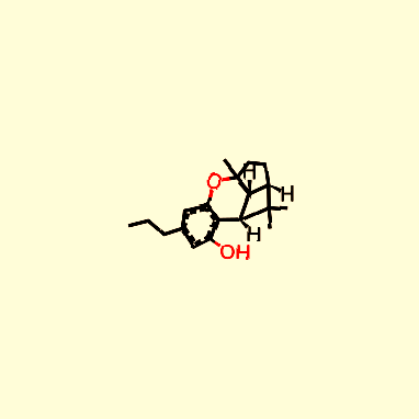 CCCc1cc(O)c2c(c1)OC1(C)CC[C@H]3[C@@H]1[C@@H]2C3(C)C